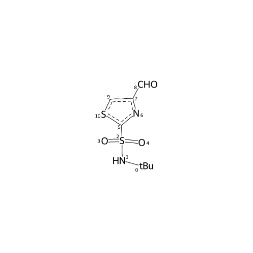 CC(C)(C)NS(=O)(=O)c1nc(C=O)cs1